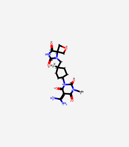 CCCN1C(=O)C(=C(N)N)C(=O)N(C2CCC(C)(CN3C(=O)NC(=O)C34COC4)CC2)C1=O